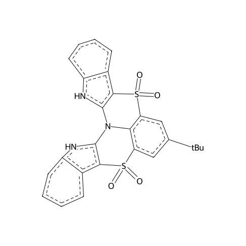 CC(C)(C)c1cc2c3c(c1)S(=O)(=O)c1c([nH]c4ccccc14)N3c1[nH]c3ccccc3c1S2(=O)=O